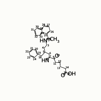 C[C@@H](NCCC(CC(=N)C(=O)CCCCC(=O)O)Cc1ccccc1)c1cccc2ccccc12